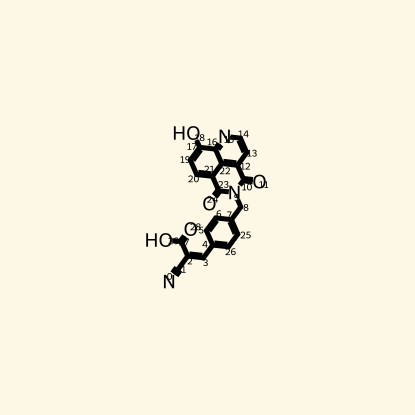 N#CC(=Cc1ccc(CN2C(=O)c3ccnc4c(O)ccc(c34)C2=O)cc1)C(=O)O